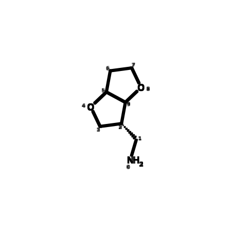 NC[C@@H]1COC2CCOC21